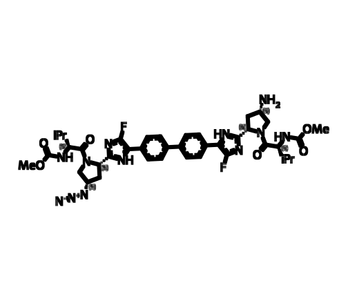 COC(=O)N[C@H](C(=O)N1C[C@@H](N)C[C@H]1c1nc(F)c(-c2ccc(-c3ccc(-c4[nH]c([C@@H]5C[C@H](N=[N+]=[N-])CN5C(=O)[C@@H](NC(=O)OC)C(C)C)nc4F)cc3)cc2)[nH]1)C(C)C